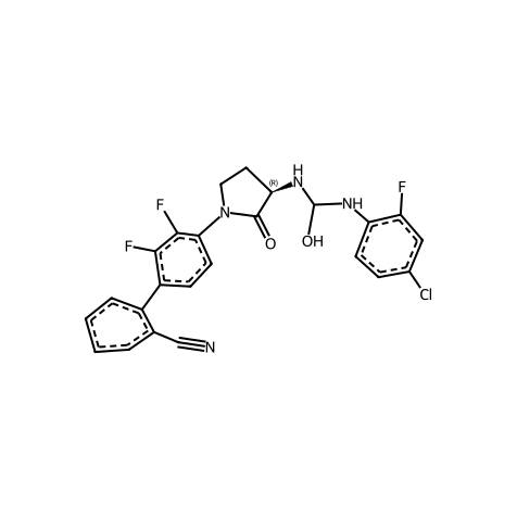 N#Cc1ccccc1-c1ccc(N2CC[C@@H](NC(O)Nc3ccc(Cl)cc3F)C2=O)c(F)c1F